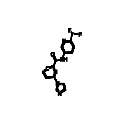 O=C(Nc1ccc(C(F)F)nc1)c1cccc(-n2ccnc2)n1